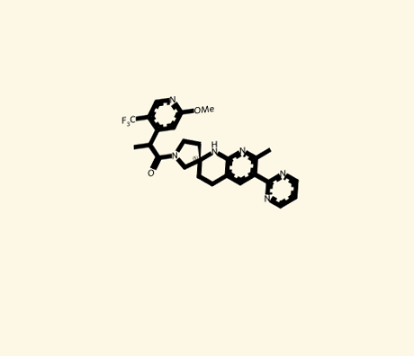 COc1cc(C(C)C(=O)N2CC[C@@]3(CCc4cc(-c5ncccn5)c(C)nc4N3)C2)c(C(F)(F)F)cn1